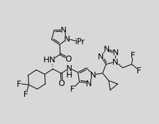 CC(C)n1nccc1C(=O)N[C@H](C(=O)Nc1cn(C(c2nnnn2CC(F)F)C2CC2)nc1F)C1CCC(F)(F)CC1